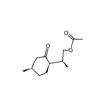 CC(=O)OC[C@@H](C)[C@H]1CC[C@@H](C)CC1=O